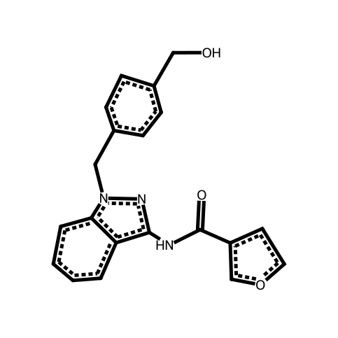 O=C(Nc1nn(Cc2ccc(CO)cc2)c2ccccc12)c1ccoc1